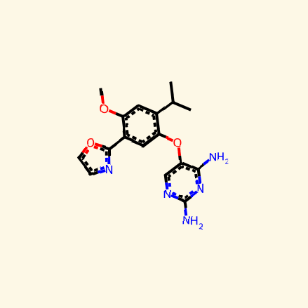 COc1cc(C(C)C)c(Oc2cnc(N)nc2N)cc1-c1ncco1